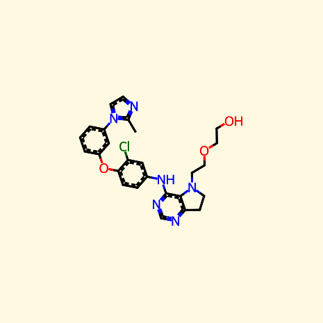 Cc1nccn1-c1cccc(Oc2ccc(Nc3ncnc4c3N(CCOCCO)CC4)cc2Cl)c1